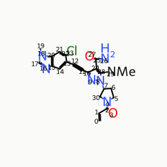 C=CC(=O)N1CC[C@H](n2nc(C#Cc3cc4ncn(C)c4cc3Cl)c(C(N)=O)c2NC)C1